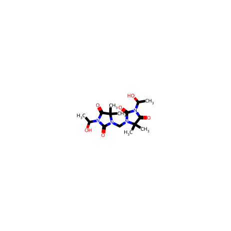 CC(O)N1C(=O)N(CN2C(=O)N(C(C)O)C(=O)C2(C)C)C(C)(C)C1=O